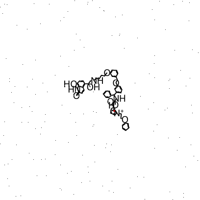 O=C(NC(c1ccccc1)c1cccc(OCc2cccc(OCCCCNC[C@@H](O)c3ccc(O)c4[nH]c(=O)ccc34)c2)c1)O[C@H]1C[N+]2(CCOc3ccccc3)CCC1CC2